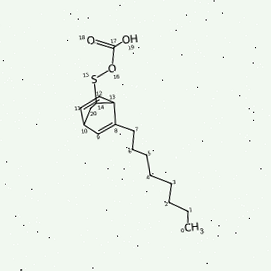 CCCCCCCCC1=CC2C=CC1C(SOC(=O)O)C2